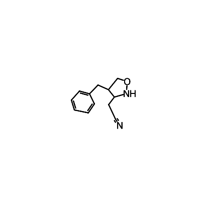 N#CCC1NOCC1Cc1ccccc1